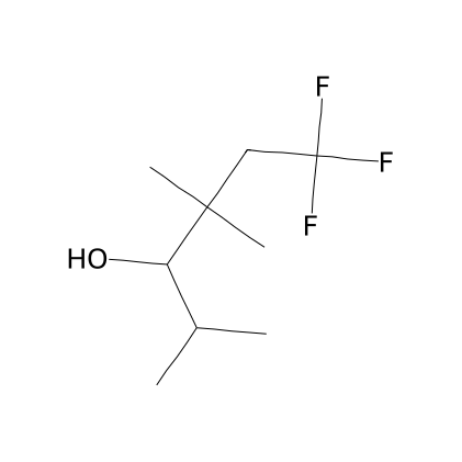 CC(C)C(O)C(C)(C)CC(F)(F)F